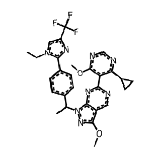 CCn1cc(C(F)(F)F)nc1-c1ccc(C(C)n2nc(OC)c3cnc(-c4c(OC)ncnc4C4CC4)nc32)cc1